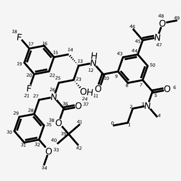 CCCN(C)C(=O)c1cc(C(=O)N[C@@H](Cc2cc(F)cc(F)c2)[C@H](O)CN(Cc2cccc(OC)c2)C(=O)OC(C)(C)C)cc(/C(C)=N/OC)c1